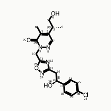 Cc1c([C@@H](C)CO)cnn(Cc2nc(C[C@H](O)c3ccc(Cl)cc3)no2)c1=O